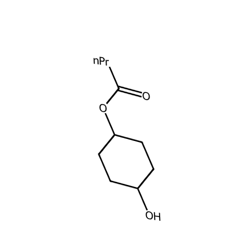 CCCC(=O)OC1CCC(O)CC1